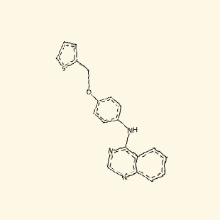 c1csc(COc2ccc(Nc3ncnc4ccccc34)cc2)c1